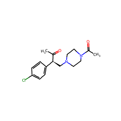 CC(=O)[C@@H](CN1CCN(C(C)=O)CC1)c1ccc(Cl)cc1